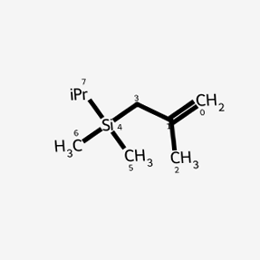 C=C(C)C[Si](C)(C)C(C)C